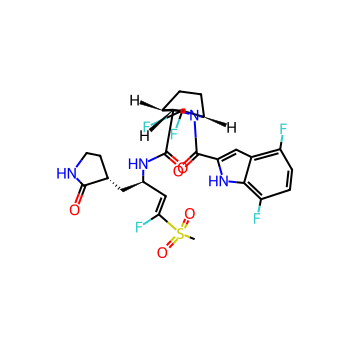 CS(=O)(=O)/C(F)=C/[C@@H](C[C@H]1CCNC1=O)NC(=O)[C@@H]1[C@@H]2CC[C@@H](CC2(F)F)N1C(=O)c1cc2c(F)ccc(F)c2[nH]1